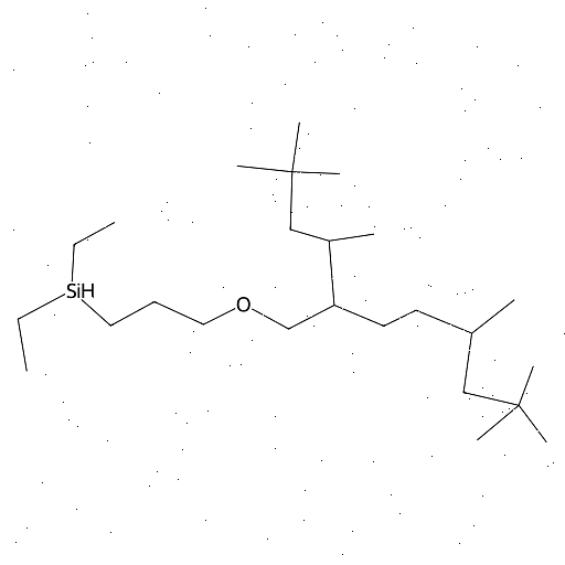 CC[SiH](CC)CCCOCC(CCC(C)CC(C)(C)C)C(C)CC(C)(C)C